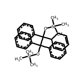 C[Si](C)(C)OC(c1ccccc1)(c1ccccc1)C(O[Si](C)(C)C)(c1ccccc1)C1C=CC=CC1